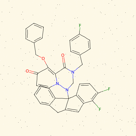 O=C1c2c(OCc3ccccc3)c(=O)ccn2N(C23C(=Cc4c2ccc(F)c4F)Cc2ccccc23)CN1Cc1ccc(F)cc1